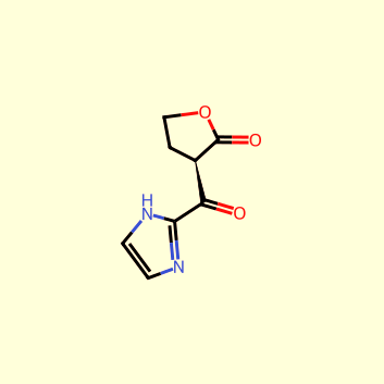 O=C1OCC[C@@H]1C(=O)c1ncc[nH]1